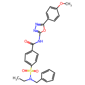 CCN(Cc1ccccc1)S(=O)(=O)c1ccc(C(=O)Nc2nnc(-c3ccc(OC)cc3)o2)cc1